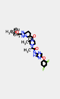 C[C@@H](C(=O)Nc1cnc(Oc2ccc(F)cc2F)cn1)N1CCN(C(=O)C2CCc3nc(CO[Si](C)(C)C(C)(C)C)nn3C2)C(C)(C)C1